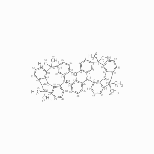 CC1(C)c2ccc3c(c2)N(c2cccc4c2Sc2c1cccc2C4(C)C)c1cccc2c1B3c1ccc3cc1N2c1cccc2c1Sc1c(cccc1C2(C)C)C3(C)C